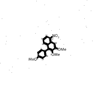 COc1ccc(-c2c(OC)c(OC)cc3c([N+](=O)[O-])cccc23)cc1